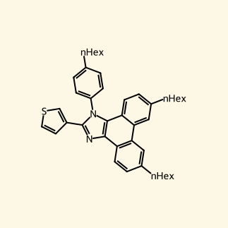 CCCCCCc1ccc(-n2c(-c3ccsc3)nc3c4ccc(CCCCCC)cc4c4cc(CCCCCC)ccc4c32)cc1